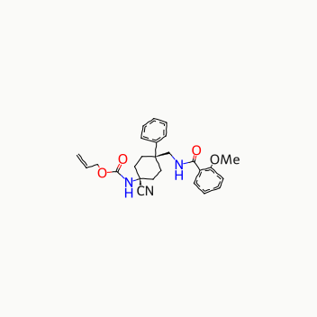 C=CCOC(=O)N[C@]1(C#N)CC[C@](CNC(=O)c2ccccc2OC)(c2ccccc2)CC1